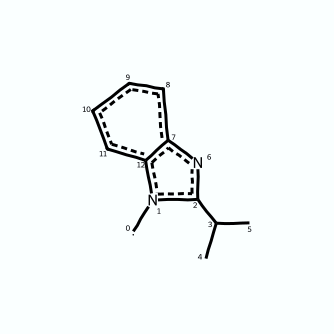 [CH2]n1c(C(C)C)nc2ccccc21